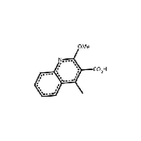 COc1nc2ccccc2c(C)c1C(=O)O